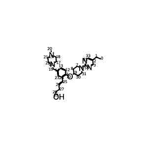 CCc1cnc(N2CCC(Oc3ccc(CN4CCN(C)CC4)cc3/C=C/CCO)CC2)nc1